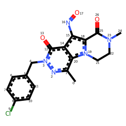 Cc1nn(Cc2ccc(Cl)cc2)c(=O)c2c(N=O)c3n(c12)CCN(C)C3=O